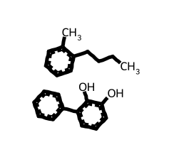 CCCCc1ccccc1C.Oc1cccc(-c2ccccc2)c1O